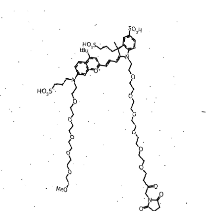 COCCOCCOCCOCCOCCOCCN(CCCS(=O)(=O)O)c1ccc2c(C(C)(C)C)cc(/C=C/C=C3/N(CCOCCOCCOCCOCCOCCOCCC(=O)CN4C(=O)CCC4=O)c4ccc(S(=O)(=O)O)cc4C3(C)CCCS(=O)(=O)O)[o+]c2c1